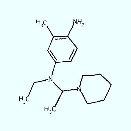 CCN(c1ccc(N)c(C)c1)C(C)N1CCCCC1